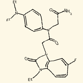 CCN(CC)c1ccc(N(CC(N)=O)C(=O)Cn2c(=O)n(CC)c3ccc(F)cc32)cc1